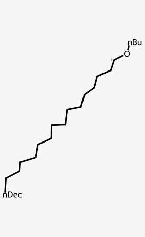 CCCCCCCCCCCCCCCCCCCCCCCC[CH]OCCCC